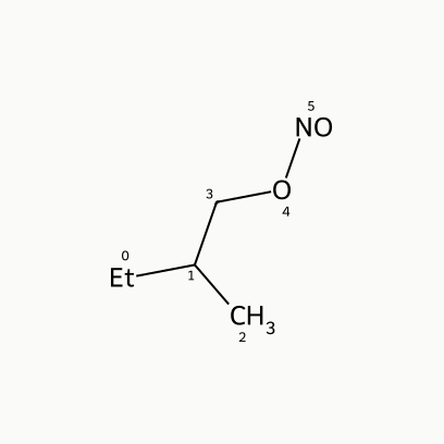 CCC(C)CON=O